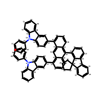 c1ccc(-n2c3ccccc3c3cc(-c4cccc5c(-c6cccc7c6C6(CCCC6)c6ccccc6-7)c6cccc(-c7ccc8c(c7)c7ccccc7n8-c7ccccc7)c6cc45)ccc32)cc1